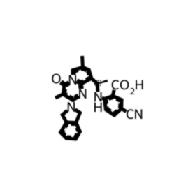 Cc1cc([C@@H](C)Nc2ccc(C#N)cc2C(=O)O)c2nc(N3Cc4ccccc4C3)c(C)c(=O)n2c1